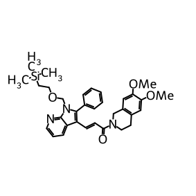 COc1cc2c(cc1OC)CN(C(=O)C=Cc1c(-c3ccccc3)n(COCC[Si](C)(C)C)c3ncccc13)CC2